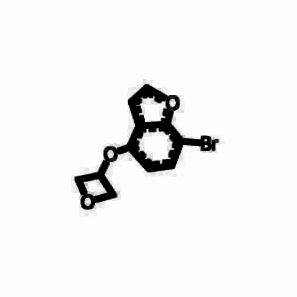 Brc1ccc(OC2COC2)c2ccoc12